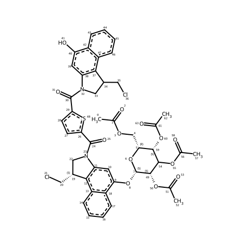 CC(=O)OC[C@H]1O[C@@H](Oc2cc3c(c4ccccc24)[C@H](CCl)CN3C(=O)c2ccc(C(=O)N3CC(CCl)c4c3cc(O)c3ccccc43)s2)[C@@H](OC(C)=O)C(OC(C)=O)[C@H]1OC(C)=O